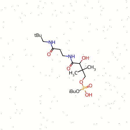 CC(C)COP(=O)(O)OCC(C)(C)C(O)C(=O)NCCC(=O)NCC(C)(C)C